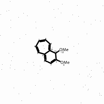 COC1=CC=C2C=CC=CC=C2C1OC